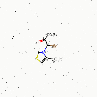 CCOC(=O)C(=O)C(Br)N1CSC=C1C(=O)O